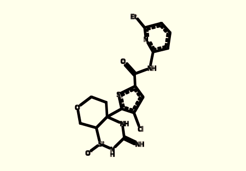 CCc1cccc(NC(=O)c2cc(Cl)c(C34CCOCC3[S+]([O-])NC(=N)N4)s2)n1